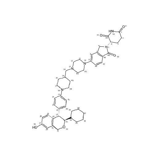 O=C1CC[C@H](N2Cc3cc(N4CCN(CC5CCN(c6ccc([C@H]7c8ccc(O)cc8CO[C@@H]7C7CCCCC7)cc6)CC5)CC4)ccc3C2=O)C(=O)N1